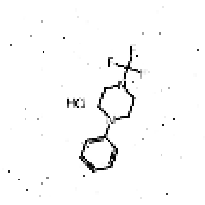 Cl.FC(F)(F)N1CCN(c2ccccc2)CC1